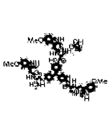 COc1ccc2[nH]c(C)c(CC(=O)N[C@@H](CN)C(=O)Nc3ccc(C(c4ccc(NC(=O)[C@H](CN)NC(=O)Cc5c(C)[nH]c6ccc(OC)cc56)cc4)c4ccc(NC(=O)[C@H](CN)NC(=O)Cc5c(C)[nH]c6ccc(OC)cc56)cc4)cc3)c2c1.O=C(O)C(F)(F)F